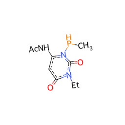 CCn1c(=O)cc(NC(C)=O)n(PC)c1=O